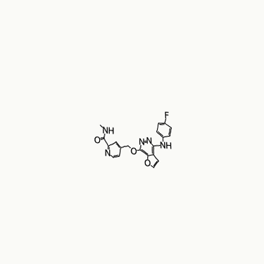 CNC(=O)c1cc(COc2nnc(Nc3ccc(F)cc3)c3ccoc23)ccn1